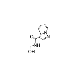 O=C(NCO)c1cnn2ccccc12